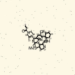 C=CC(=O)N1CCN(c2nc(=O)n(-c3c(SC)ccnc3C(C)C)c3nc(-c4c(O)cccc4F)c(Cl)cc23)[C@@H](C)C1